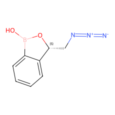 [N-]=[N+]=NC[C@H]1OB(O)c2ccccc21